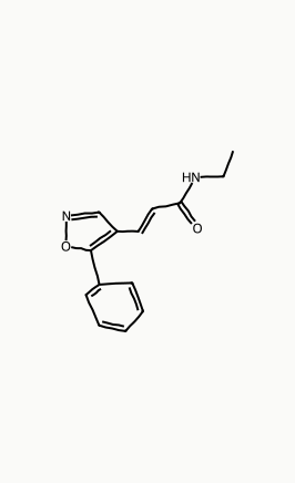 CCNC(=O)/C=C/c1cnoc1-c1ccccc1